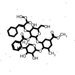 COC(=O)C1CC(C)C(OC2OC(C)C(O)C(O)C2O)C(OC2OC(CO)C(O)C(O/C(=C\C3CCCCC3)C(=O)OO)C2OC(=O)c2ccccc2)C1